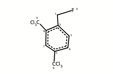 FCc1ccc(C(Cl)(Cl)Cl)cc1C(Cl)(Cl)Cl